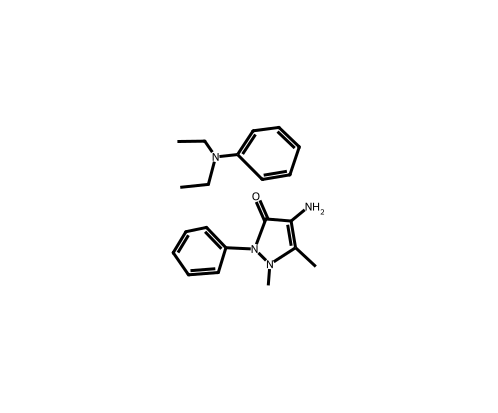 CCN(CC)c1ccccc1.Cc1c(N)c(=O)n(-c2ccccc2)n1C